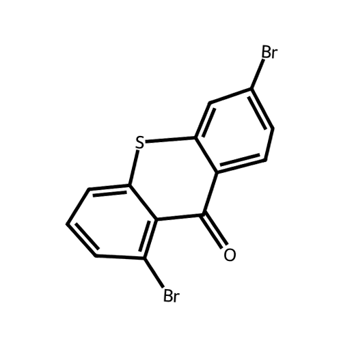 O=c1c2ccc(Br)cc2sc2cccc(Br)c12